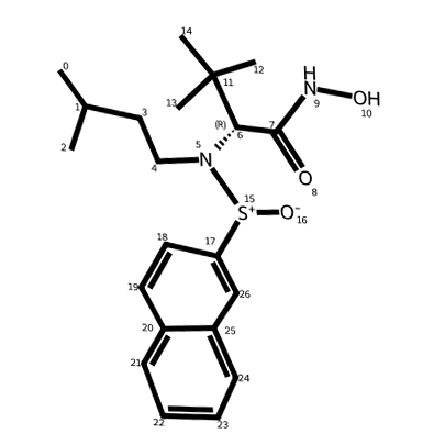 CC(C)CCN([C@@H](C(=O)NO)C(C)(C)C)[S+]([O-])c1ccc2ccccc2c1